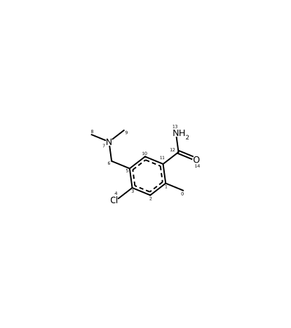 Cc1cc(Cl)c(CN(C)C)cc1C(N)=O